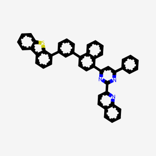 c1ccc(-c2cc(-c3ccc(-c4cccc(-c5cccc6c5sc5ccccc56)c4)c4ccccc34)nc(-c3ccc4ccccc4n3)n2)cc1